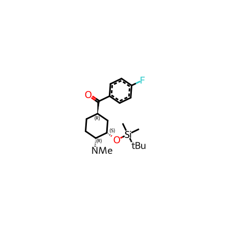 CN[C@@H]1CC[C@@H](C(=O)c2ccc(F)cc2)C[C@@H]1O[Si](C)(C)C(C)(C)C